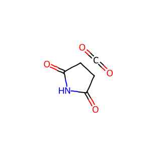 O=C1CCC(=O)N1.O=C=O